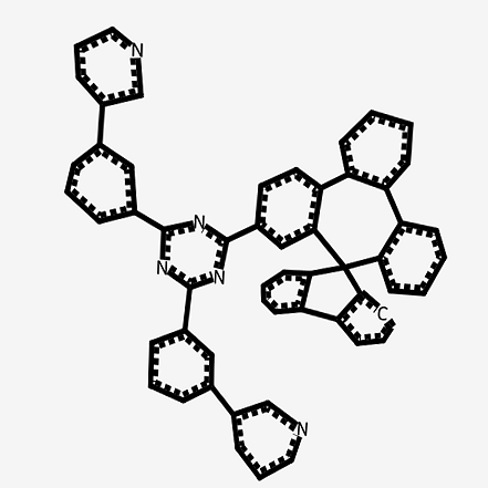 c1cncc(-c2cccc(-c3nc(-c4cccc(-c5cccnc5)c4)nc(-c4ccc5c(c4)C4(c6ccccc6-c6ccccc6-5)c5ccccc5-c5ccccc54)n3)c2)c1